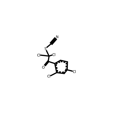 N#CSC(Cl)(Cl)C(=O)c1ccc(Cl)cc1Cl